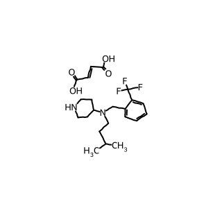 CC(C)CCN(Cc1ccccc1C(F)(F)F)C1CCNCC1.O=C(O)C=CC(=O)O